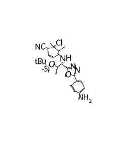 CC1=C(N[C@@H](c2nnc(-c3ccc(N)cc3)o2)[C@@H](C)O[Si](C)(C)C(C)(C)C)C=CC(C#N)C1(C)Cl